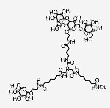 CCNC(=O)CCCCCNC(=O)CN(CC(=O)NCCCCCC(=O)NCCO[C@@H]1O[C@@H](C)[C@@H](O)[C@@H](O)[C@@H]1O)CC(=O)NCCCC(=O)NCCO[C@H]1O[C@H](CO[C@H]2O[C@H](CO)[C@@H](O)[C@H](O)[C@@H]2O)[C@@H](O)C(O[C@H]2O[C@H](CO)[C@@H](O)[C@H](O)[C@@H]2O)[C@@H]1O